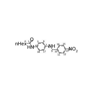 CCCCCCC(=O)Nc1ccc(NCc2ccc([N+](=O)[O-])cc2)cc1